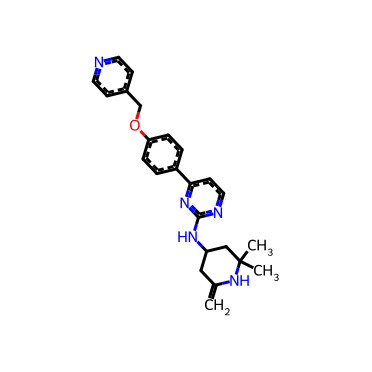 C=C1CC(Nc2nccc(-c3ccc(OCc4ccncc4)cc3)n2)CC(C)(C)N1